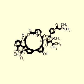 CCn1c(-c2cccnc2[C@H](C)OC)c2c3cc(ccc31)-c1cc(O)cc(c1)C[C@H](NC(=O)[C@H](C(C)C)N(C)C(=O)[C@H]1CCN(C(=O)CN(C)C)C1)C(=O)N1CCC[C@H](N1)C(=O)OCC(C)(C)C2